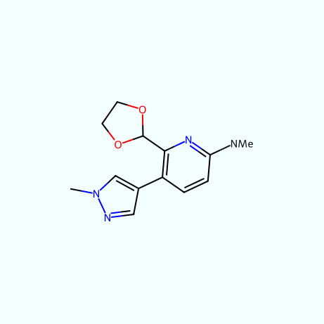 CNc1ccc(-c2cnn(C)c2)c(C2OCCO2)n1